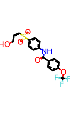 O=C(Nc1ccc(S(=O)(=O)/C=C\CO)cc1)c1ccc(OC(F)(F)F)cc1